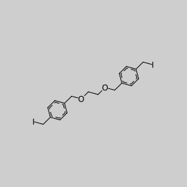 ICc1ccc(COCCOCc2ccc(CI)cc2)cc1